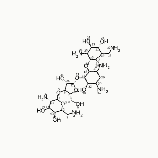 NCC1O[C@H](OC2[C@@H](CO)O[C@@H](OC3C(O[C@H]4OC(CN)[C@@H](O)[C@H](O)C4N)C(N)CC(N)[C@H]3O)[C@H]2O)[C@@H](N)C(O)[C@@H]1O